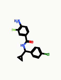 Nc1ccc(C(=O)NC(c2ccc(Cl)cc2)C2CC2)cc1F